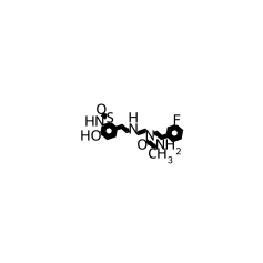 CC(N)C(=O)N(CCNCCc1ccc(O)c2[nH]c(=O)sc12)CCc1cccc(F)c1